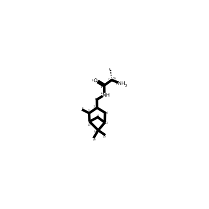 CC1C(CNC(=O)[C@H](C)N)CC2CC1C2(C)C